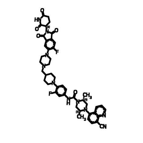 C[C@@H]1CN(c2ccc(C#N)c3ncccc23)[C@@H](C)CN1C(=O)Nc1ccc(N2CCC(CN3CCN(c4cc5c(cc4F)C(=O)N([C@@H]4CCC(=O)NC4=O)C5=O)CC3)CC2)c(F)c1